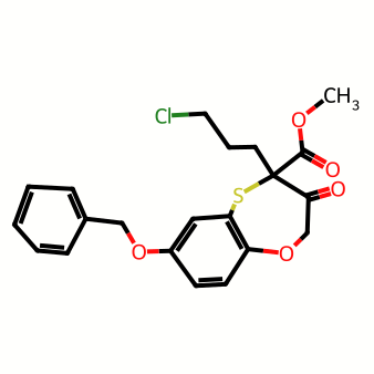 COC(=O)C1(CCCCl)Sc2cc(OCc3ccccc3)ccc2OCC1=O